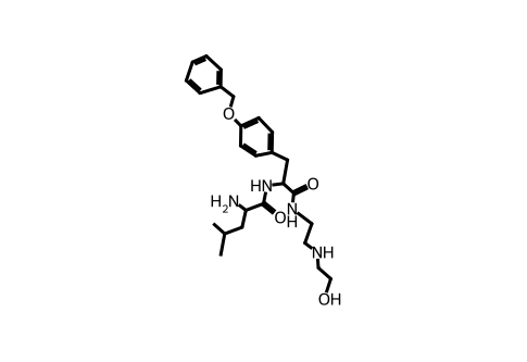 CC(C)CC(N)C(=O)NC(Cc1ccc(OCc2ccccc2)cc1)C(=O)NCCNCCO